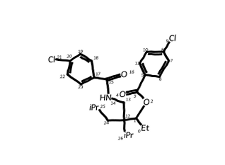 CCC(OC(=O)c1ccc(Cl)cc1)C(CNC(=O)c1ccc(Cl)cc1)(CC(C)C)C(C)C